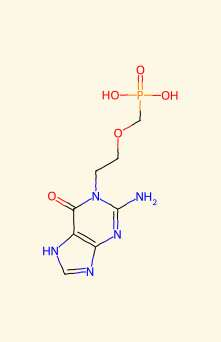 Nc1nc2nc[nH]c2c(=O)n1CCOCP(=O)(O)O